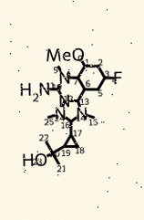 COC1CC(F)CC2C1N(C)C(N)N1C2N(C)C(C2CC2C(C)(C)O)N1C